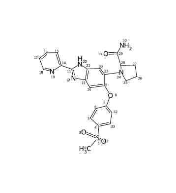 CS(=O)(=O)c1ccc(Oc2cc3nc(-c4ccccn4)[nH]c3cc2N2CCCC2C(N)=O)cc1